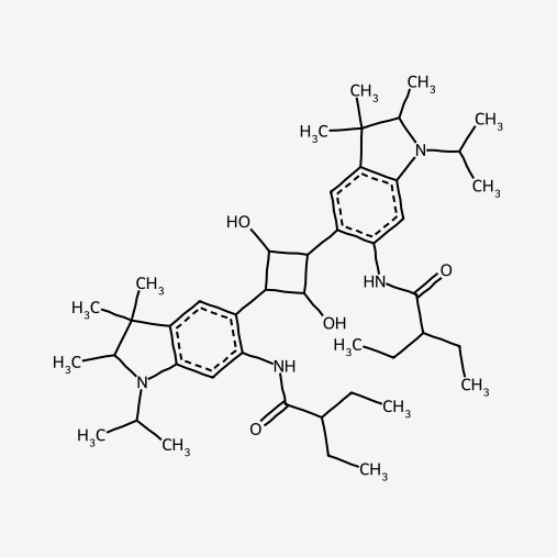 CCC(CC)C(=O)Nc1cc2c(cc1C1C(O)C(c3cc4c(cc3NC(=O)C(CC)CC)N(C(C)C)C(C)C4(C)C)C1O)C(C)(C)C(C)N2C(C)C